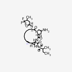 CCC(C)S(=O)(=O)NC(=O)[C@@]12C[C@H]1/C=C\CCCCC[C@H](NC(=O)CC(C)C(F)(F)F)C(=O)N1C[C@H](N)C[C@H]1C(=O)N2